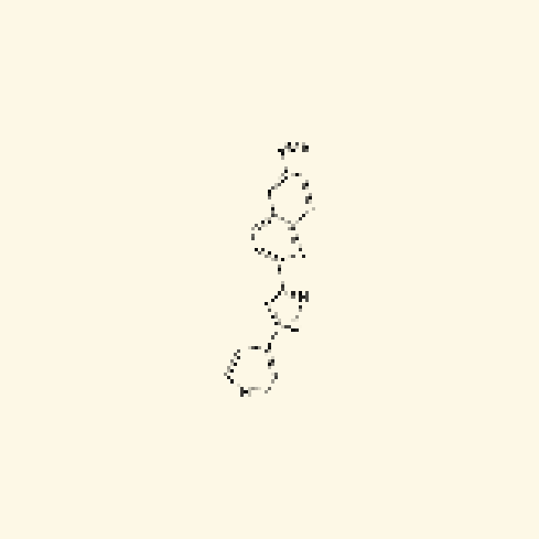 COc1ccc2nc(-c3noc(-c4ccncc4)n3)ccc2c1